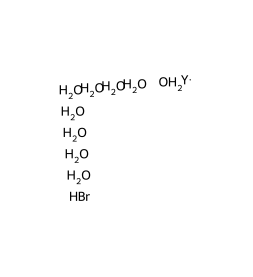 Br.O.O.O.O.O.O.O.O.O.[Y]